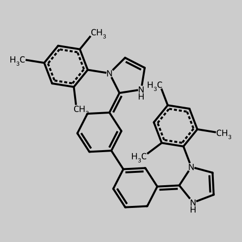 Cc1cc(C)c(N2C=CNC2=C2C=C(C3=CC(=C4NC=CN4c4c(C)cc(C)cc4C)CC=C3)C=CC2)c(C)c1